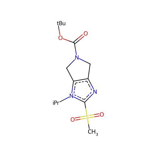 CC(C)n1c(S(C)(=O)=O)nc2c1CN(C(=O)OC(C)(C)C)C2